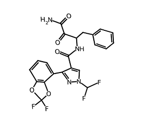 NC(=O)C(=O)C(Cc1ccccc1)NC(=O)c1cn(C(F)F)nc1-c1cccc2c1OC(F)(F)O2